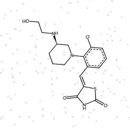 O=C1NC(=O)C(=Cc2cccc(Cl)c2N2CCC[C@@H](NCCO)C2)S1